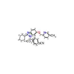 Cc1ccc(COc2ccc3nc([C@@H]4CCCC[C@H]4C(=O)O)n(Cc4ccc(C#N)cc4)c3c2)nc1